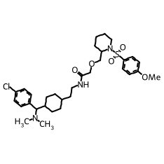 COc1ccc(S(=O)(=O)N2CCCCC2COCC(=O)NCCC2CCC(C(c3ccc(Cl)cc3)N(C)C)CC2)cc1